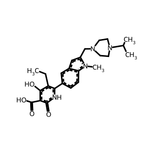 CCc1c(-c2ccc3c(c2)cc(CN2CCN(C(C)C)CC2)n3C)[nH]c(=O)c(C(=O)O)c1O